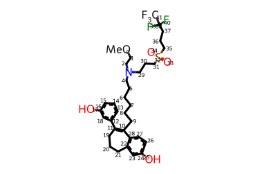 COCCN(CCCCCCC1=C(c2cccc(O)c2)CCCc2cc(O)ccc21)CCCS(=O)(=O)CCCC(F)(F)C(F)(F)F